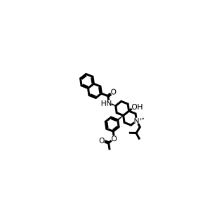 CC(=O)Oc1cccc([C@]23CC[N@@+](C)(CC(C)C)CC2(O)CC[C@H](NC(=O)c2ccc4ccccc4c2)C3)c1